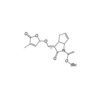 C=C(OC(C)(C)C)N1C(=O)/C(=C/OC2C=C(C)C(=O)O2)C2CC=CC21